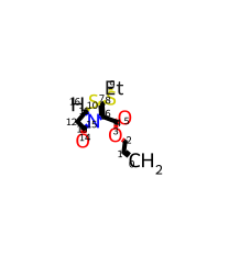 C=CCOC(=O)C1=C(SCC)S[C@@H]2CC(=O)N12